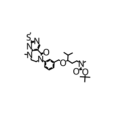 CSc1ncc2c(n1)N(C)CCN(c1cccc(COC(CCN(C)C(=O)OC(C)(C)C)C(C)C)c1)C2=O